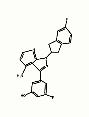 Nc1ncnc2c1c(-c1cc(O)cc(F)c1)nn2C1Cc2ccc(F)cc2C1